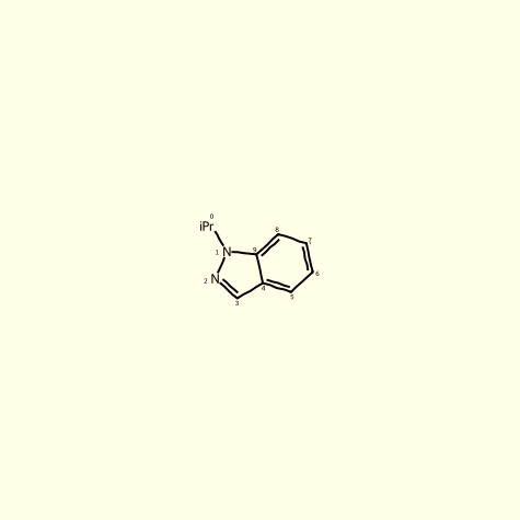 CC(C)n1ncc2cc[c]cc21